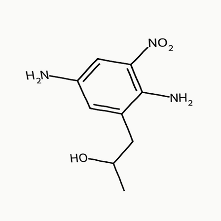 CC(O)Cc1cc(N)cc([N+](=O)[O-])c1N